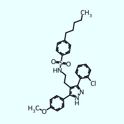 CCCCCc1ccc(S(=O)(=O)NCCc2c(-c3ccccc3Cl)n[nH]c2-c2ccc(OC)cc2)cc1